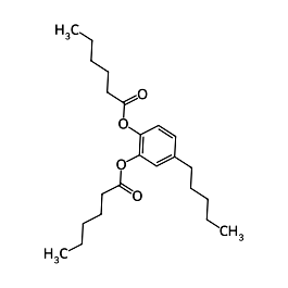 CCCCCC(=O)Oc1ccc(CCCCC)cc1OC(=O)CCCCC